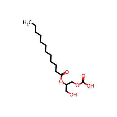 CCCCCCCCCCCC(=O)OC(CO)COC(=O)O